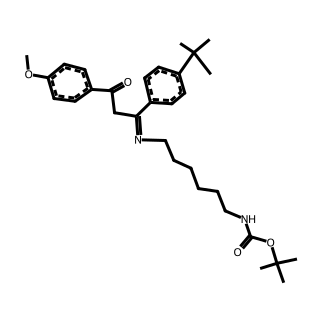 COc1ccc(C(=O)C/C(=N/CCCCCCNC(=O)OC(C)(C)C)c2ccc(C(C)(C)C)cc2)cc1